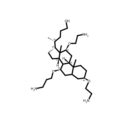 C[C@H](CCCO)[C@H]1CC[C@H]2C3[C@H](OCCCN)CC4C[C@H](OCCN)CCC4(C)[C@H]3C[C@H](OCCN)C12C